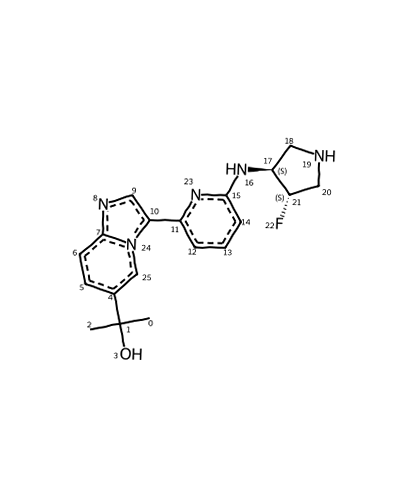 CC(C)(O)c1ccc2ncc(-c3cccc(N[C@H]4CNC[C@@H]4F)n3)n2c1